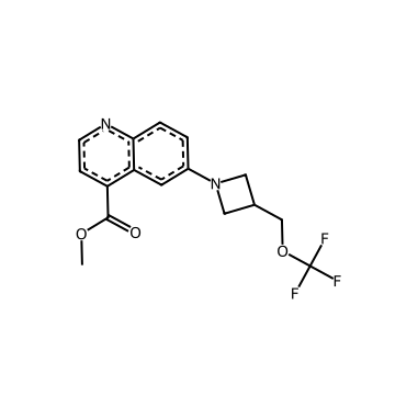 COC(=O)c1ccnc2ccc(N3CC(COC(F)(F)F)C3)cc12